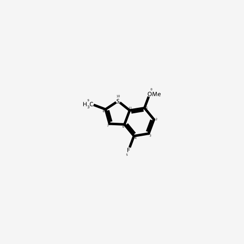 COc1ccc(F)c2cc(C)sc12